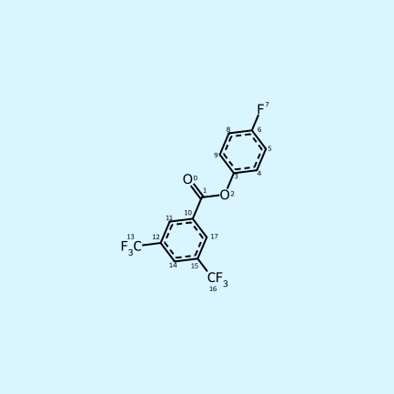 O=C(Oc1ccc(F)cc1)c1cc(C(F)(F)F)cc(C(F)(F)F)c1